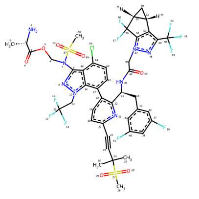 C[C@H](N)C(=O)OCN(c1nn(CC(F)(F)F)c2c(-c3ccc(C#CC(C)(C)S(C)(=O)=O)nc3[C@H](Cc3cc(F)cc(F)c3)NC(=O)Cn3nc(C(F)(F)F)c4c3C(F)(F)[C@@H]3C[C@H]43)ccc(Cl)c12)S(C)(=O)=O